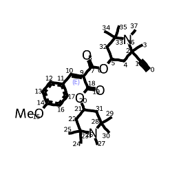 C#CC1(C)CC(OC(=O)/C(=C/c2ccc(OC)cc2)C(=O)OC2CC(C)(C)N(C)C(C)(C)C2)CC(C)(C)N1C